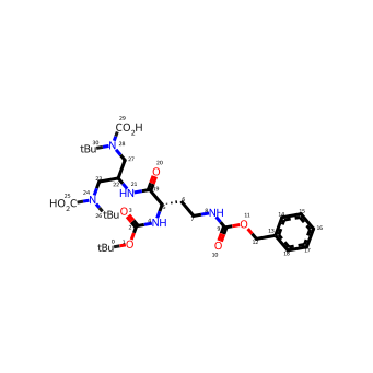 CC(C)(C)OC(=O)N[C@@H](CCNC(=O)OCc1ccccc1)C(=O)NC(CN(C(=O)O)C(C)(C)C)CN(C(=O)O)C(C)(C)C